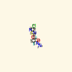 CN(C)/C=N/C(=O)C1=C(F)CCC(OCc2nc3cc(Cl)cnc3s2)=C1F